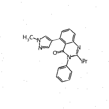 CC(C)c1nc2cccc(-c3cnn(C)c3)c2c(=O)n1-c1ccccc1